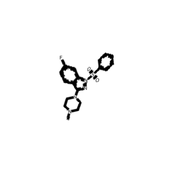 CN1CCN(c2nn(S(=O)(=O)c3ccccc3)c3cc(F)ccc23)CC1